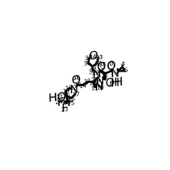 O=C(NC1CC1)c1c(O)n2ncc(/C=C/C(=O)N3CCC(O)(C(F)(F)F)CC3)c2n(CC2CCOCC2)c1=O